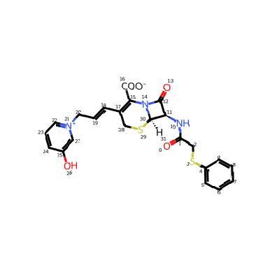 O=C(CSc1ccccc1)N[C@@H]1C(=O)N2C(C(=O)[O-])=C(/C=C/C[n+]3cccc(O)c3)CS[C@H]12